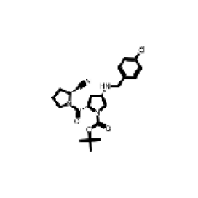 CC(C)(C)OC(=O)N1C[C@@H](NCc2ccc(Cl)cc2)C[C@H]1C(=O)N1CCC[C@H]1C#N